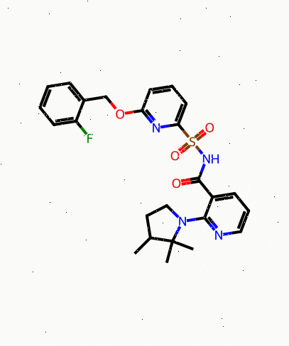 CC1CCN(c2ncccc2C(=O)NS(=O)(=O)c2cccc(OCc3ccccc3F)n2)C1(C)C